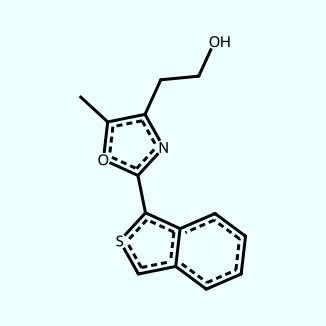 Cc1oc(-c2scc3ccccc23)nc1CCO